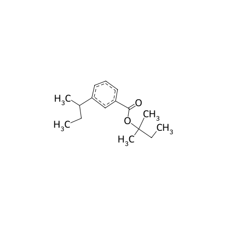 CCC(C)c1cccc(C(=O)OC(C)(C)CC)c1